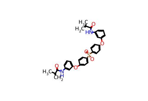 C=C(C)C(=O)Nc1cccc(Oc2ccc(S(=O)(=O)c3ccc(Oc4cccc(NC(=O)C(=C)C)c4)cc3)cc2)c1